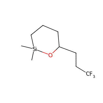 C[Si]1(C)CCCC(CCC(F)(F)F)O1